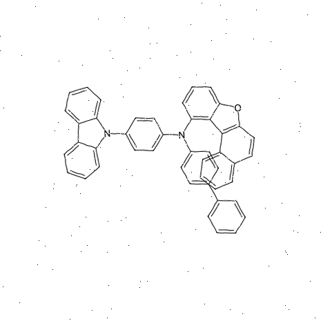 c1ccc(-c2ccc(N(c3ccc(-n4c5ccccc5c5ccccc54)cc3)c3cccc4oc5ccc6ccccc6c5c34)cc2)cc1